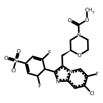 COC(=O)N1CCO[C@@H](Cc2c(C3C(F)=CC(S(=O)(=O)Cl)=CC3F)nc3cc(Cl)c(F)cn23)C1